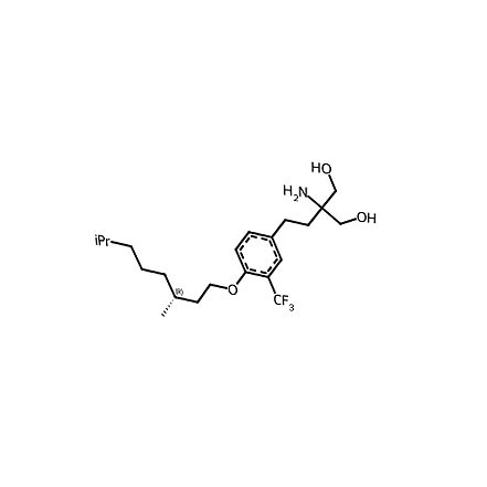 CC(C)CCC[C@@H](C)CCOc1ccc(CCC(N)(CO)CO)cc1C(F)(F)F